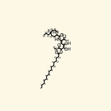 CCCCCCCCCCCCCCCC(=O)OC1C(SC)OC(C(NC(=O)C2CCC(F)(CCC)CCN2)C(C)Cl)C(O)C1O